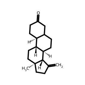 C=C1CC[C@@]2(C)CC[C@H]3[C@@H](CCC4CC(=O)CC[C@@H]43)[C@H]12